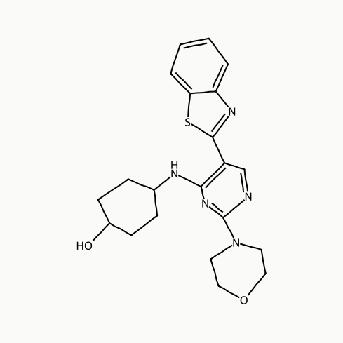 OC1CCC(Nc2nc(N3CCOCC3)ncc2-c2nc3ccccc3s2)CC1